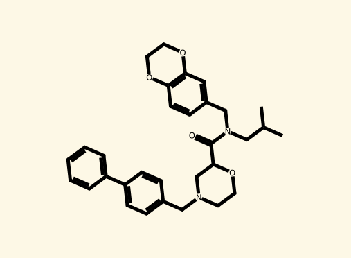 CC(C)CN(Cc1ccc2c(c1)OCCO2)C(=O)C1CN(Cc2ccc(-c3ccccc3)cc2)CCO1